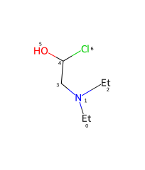 CCN(CC)CC(O)Cl